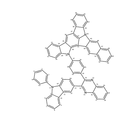 c1ccc(-n2c3ccccc3c3cc(-c4nc5ccccc5nc4-c4ccc(-n5c6ccccc6c6cc7c8ccccc8n8c9cc%10ccccc%10cc9c(c65)c78)cc4)ccc32)cc1